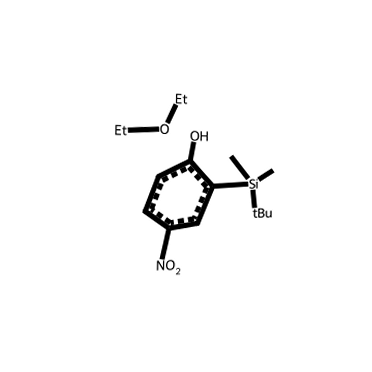 CC(C)(C)[Si](C)(C)c1cc([N+](=O)[O-])ccc1O.CCOCC